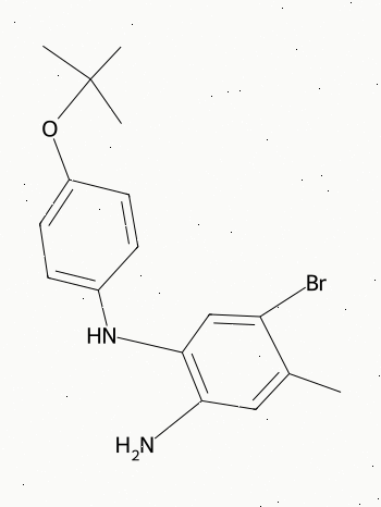 Cc1cc(N)c(Nc2ccc(OC(C)(C)C)cc2)cc1Br